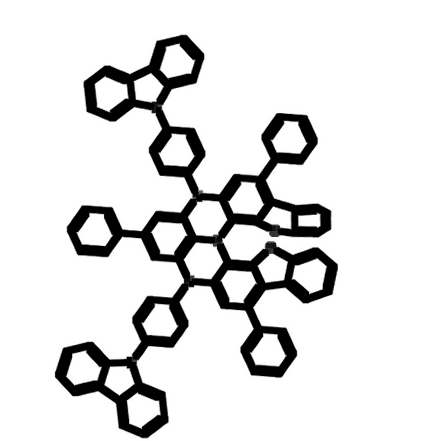 c1ccc(-c2cc3c4c(c2)N(c2ccc(-n5c6ccccc6c6ccccc65)cc2)c2cc(-c5ccccc5)c5c(oc6ccccc65)c2B4c2c(cc(-c4ccccc4)c4c2oc2ccccc24)N3c2ccc(-n3c4ccccc4c4ccccc43)cc2)cc1